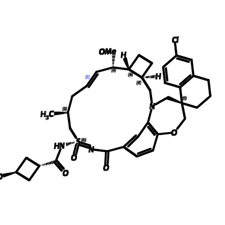 CO[C@H]1/C=C/C[C@H](C)C[S@@](=O)(NC(=O)[C@H]2C[C@H](OC)C2)=NC(=O)c2ccc3c(c2)N(C[C@@H]2CC[C@H]21)C[C@@]1(CCCc2cc(Cl)ccc21)CO3